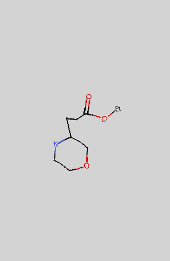 CCOC(=O)CC1COCC[N]1